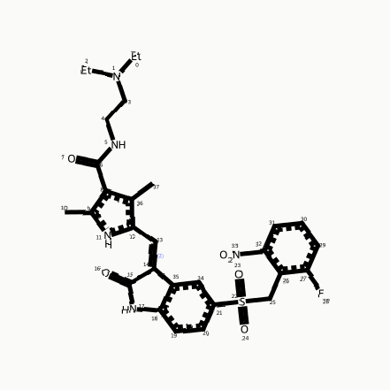 CCN(CC)CCNC(=O)c1c(C)[nH]c(/C=C2\C(=O)Nc3ccc(S(=O)(=O)Cc4c(F)cccc4[N+](=O)[O-])cc32)c1C